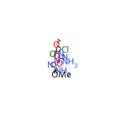 COC[C@H](N)c1cncc(NC(=O)c2c(N)ncn(-c3c(Cl)cc(OC4CC4)cc3Cl)c2=O)c1